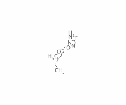 C=C/C=C\C=C(/C)Cc1cc(COc2ncc(F)c(N)n2)co1